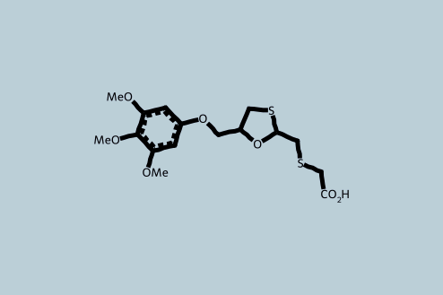 COc1cc(OCC2CSC(CSCC(=O)O)O2)cc(OC)c1OC